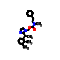 Cc1cccc(C(C)c2nccn2COC(=O)N(C)CCc2ccccc2)c1C